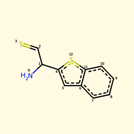 NC([C]=S)c1cc2ccccc2s1